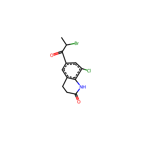 CC(Br)C(=O)c1cc(Cl)c2c(c1)CCC(=O)N2